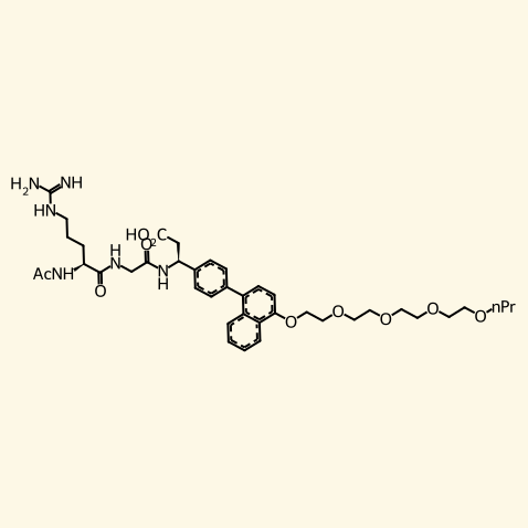 CCCOCCOCCOCCOCCOc1ccc(-c2ccc([C@H](CC(=O)O)NC(=O)CNC(=O)[C@H](CCCNC(=N)N)NC(C)=O)cc2)c2ccccc12